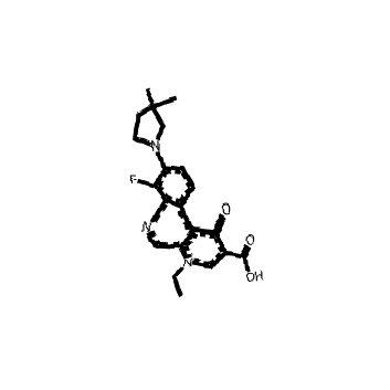 CCn1cc(C(=O)O)c(=O)c2c3ccc(N4CCC(C)(C)C4)c(F)c3ncc21